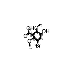 COc1c(O)cc(Br)c(OC)c1C(=O)O